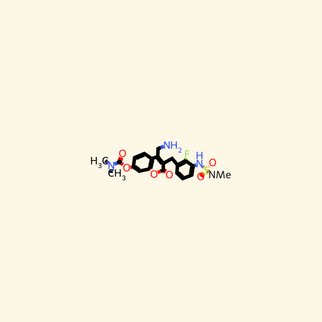 CNS(=O)(=O)Nc1cccc(Cc2c(CN)c3ccc(OC(=O)N(C)C)cc3oc2=O)c1F